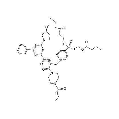 CCCC(=O)OCOP(=O)(OCOC(=O)CCC)c1ccc(C[C@H](NC(=O)c2cc(N3CC[C@H](OC)C3)nc(-c3ccccc3)n2)C(=O)N2CCN(C(=O)OCC)CC2)cc1